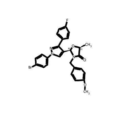 COc1ccc(CN2C(=O)[C@H](C)O[C@@H]2c2cn(-c3ccc(Br)cc3)nc2-c2ccc(F)cc2)cc1